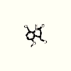 COc1ccc(Cl)c2[nH]c(=O)cc(C=O)c12